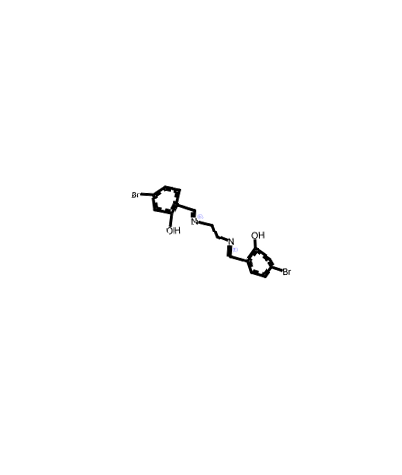 Oc1cc(Br)ccc1/C=N/CC/N=C/c1ccc(Br)cc1O